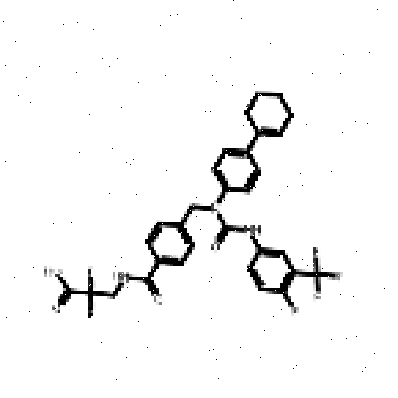 O=C(NCC(F)(F)C(=O)O)c1ccc(CN(C(=O)Nc2ccc(F)c(C(F)(F)F)c2)c2ccc(C3=CCCCC3)cc2)cc1